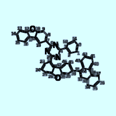 c1ccc(-c2nc(-c3ccc4oc5ccccc5c4c3)nc(-c3cccc4oc5cc(-c6cc7ccccc7c7ccccc67)ccc5c34)n2)cc1